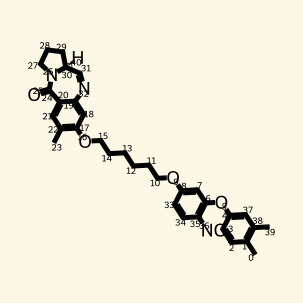 Cc1ccc(Oc2cc(OCCCCCCOc3cc4c(cc3C)C(=O)N3CCC[C@H]3C=N4)ccc2[N+](=O)[O-])cc1C